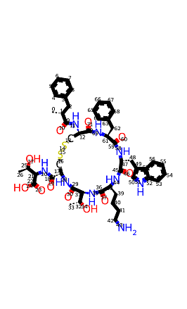 C[C@H](Cc1ccccc1)C(=O)N[C@H]1CSSC[C@@H](C(=O)NC(C(=O)O)[C@@H](C)O)NC(=O)[C@H]([C@@H](C)O)NC(=O)[C@H](CCCCN)NC(=O)[C@@H](Cc2c[nH]c3ccccc23)NC(=O)[C@H](Cc2ccccc2)NC1=O